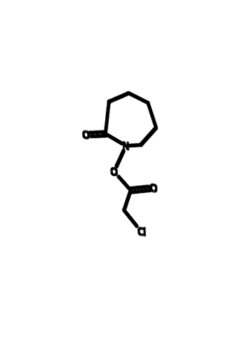 O=C(CCl)ON1CCCCCC1=O